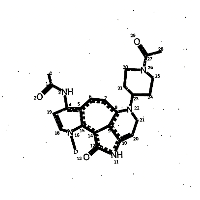 CC(=O)NC1=c2ccc3c4c([nH]c(=O)c-4c2N(C)C=C1)=CCN3C1CCN(C(C)=O)CC1